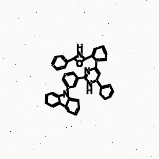 C1=CCCC(C2C=C(c3ccccc3C3NC(c4ccccc4)O3)N=C(c3cccc(-n4c5ccccc5c5ccccc54)c3)N2)=C1